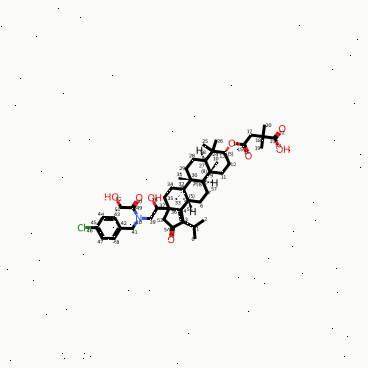 CC(C)C1=C2[C@H]3CC[C@@H]4[C@@]5(C)CC[C@H](OC(=O)CC(C)(C)C(=O)O)C(C)(C)[C@@H]5CC[C@@]4(C)[C@]3(C)CCC2(C(O)CN(Cc2ccc(Cl)cc2)C(=O)CO)CC1=O